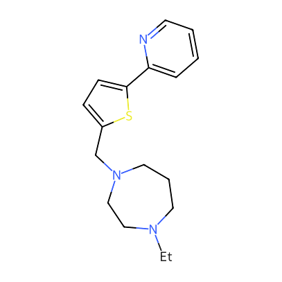 CCN1CCCN(Cc2ccc(-c3ccccn3)s2)CC1